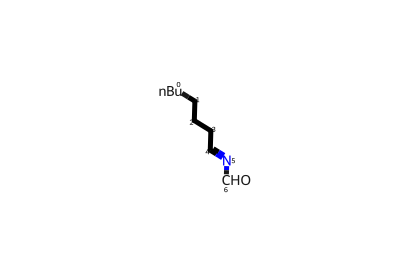 CCCCCCCC=NC=O